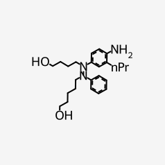 CCCc1cc(N(CCCCO)N(CCCCCO)c2ccccc2)ccc1N